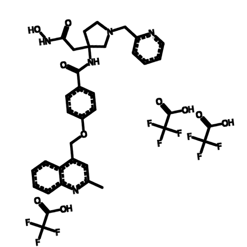 Cc1cc(COc2ccc(C(=O)NC3(CC(=O)NO)CCN(Cc4ccccn4)C3)cc2)c2ccccc2n1.O=C(O)C(F)(F)F.O=C(O)C(F)(F)F.O=C(O)C(F)(F)F